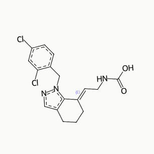 O=C(O)NC/C=C1\CCCc2cnn(Cc3ccc(Cl)cc3Cl)c21